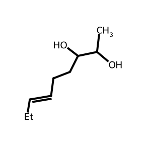 CCC=CCCC(O)C(C)O